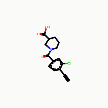 [C]#Cc1ccc(C(=O)N2CCCC(C(=O)O)C2)cc1Cl